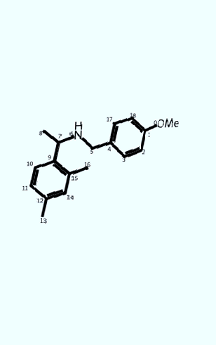 COc1ccc(CNC(C)c2ccc(C)cc2C)cc1